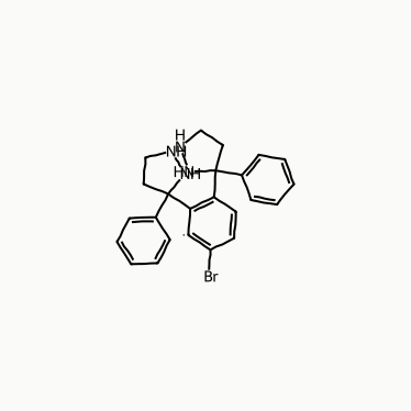 Brc1[c]c(C2(c3ccccc3)CCNN2)c(C2(c3ccccc3)CCNN2)cc1